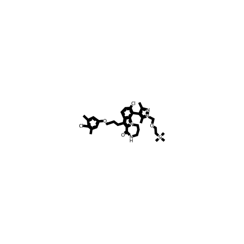 Cc1cc(OCCCc2c3n(c4c(-c5c(C)nn(COCC[Si](C)(C)C)c5C)c(Cl)ccc24)CCCNC3=O)cc(C)c1Cl